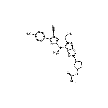 CCc1nc2sc(N3CCC(OC(N)=O)C3)nn2c1N(C)c1nc(-c2ccc(C)cc2)c(C#N)s1